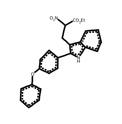 CCOC(=O)C(Cc1c(-c2ccc(Oc3ccccc3)cc2)[nH]c2ccccc12)[N+](=O)[O-]